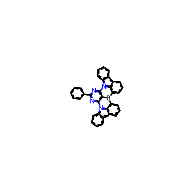 c1ccc(-c2nc3c4c(n2)-n2c5ccccc5c5cccc(c52)B4c2cccc4c5ccccc5n-3c24)cc1